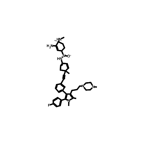 CN[C@@]1(C)CCC([S+]([O-])NC2=CCC(C)(C#Cc3cccc(-c4c(CCCN5CCN(C)CC5)c(C)n(C)c4-c4ccc(F)cc4)c3)C=C2)C=C1N